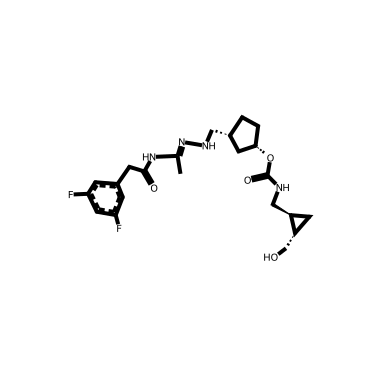 C/C(=N\NC[C@@H]1CC[C@H](OC(=O)NC[C@H]2C[C@@H]2CO)C1)NC(=O)Cc1cc(F)cc(F)c1